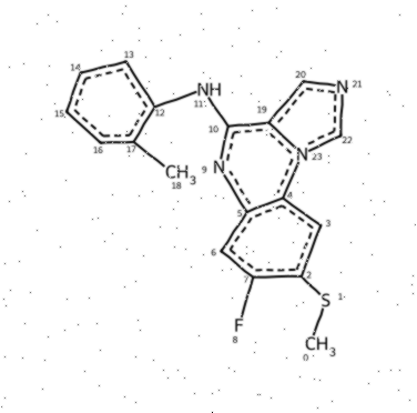 CSc1cc2c(cc1F)nc(Nc1ccccc1C)c1cncn12